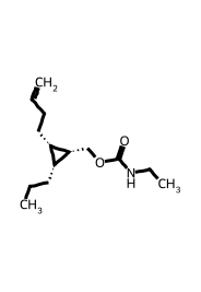 C=CCC[C@H]1[C@@H](CCC)[C@H]1COC(=O)NCC